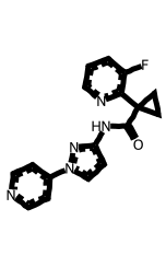 O=C(Nc1ccn(-c2ccncc2)n1)C1(c2ncccc2F)CC1